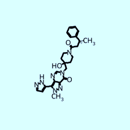 C[C@H](CC(=O)N1CCC(O)(Cn2cnc3c(-c4ccn[nH]4)n(C)nc3c2=O)CC1)c1ccccc1